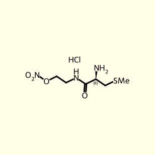 CSC[C@H](N)C(=O)NCCO[N+](=O)[O-].Cl